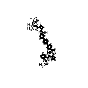 COC(=O)N[C@H](C(=O)C1CC[C@H]1c1nc2ccc(-c3ccc(-c4ccc(-c5cnc([C@@H]6CCCN6C(=O)[C@H](NC(=O)OC)c6ccccc6)[nH]5)cc4)cc3)cc2[nH]1)C(C)C